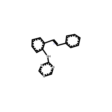 C(=C\c1ccccc1Nc1ncncn1)/c1ccccc1